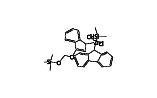 C[SiH](C)[Zr]([Cl])([Cl])([CH]1C=C(OCO[Si](C)(C)C)c2ccccc21)[CH]1c2ccccc2-c2ccccc21